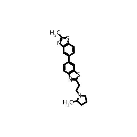 Cc1nc2cc(-c3ccc4nc(CCN5CCCC5C)sc4c3)ccc2s1